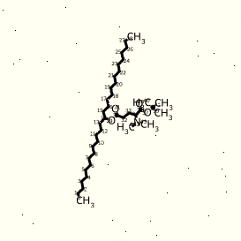 CCCCCCCCCCCCCCC(CCCCCCCCCCCCCC)OC(=O)CCC(C(=O)OC(C)(C)C)N(C)C